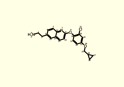 NCCc1ccc2nc(Oc3ccc(OCC4CC4)cc3Cl)ccc2c1